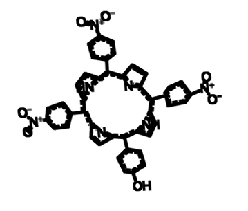 O=[N+]([O-])c1ccc(-c2c3nc(c(-c4ccc([N+](=O)[O-])cc4)c4ccc([nH]4)c(-c4ccc([N+](=O)[O-])cc4)c4nc(c(-c5ccc(O)cc5)c5ccc2[nH]5)C=C4)C=C3)cc1